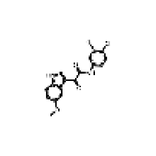 COc1ccc2[nH]cc(C(=O)C(=O)Nc3ccc(Cl)c(Cl)c3)c2c1